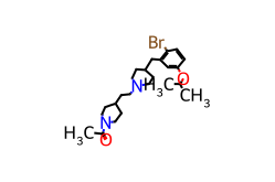 CC(=O)N1CCC(CCN2CCC(Cc3cc(OC(C)C)ccc3Br)CC2)CC1